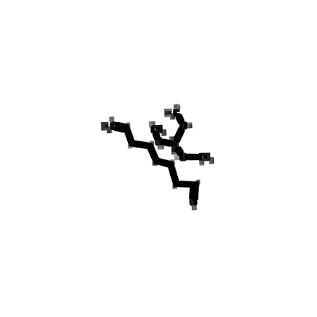 C=CCCCCCC=O.CO[SiH](OC)OC